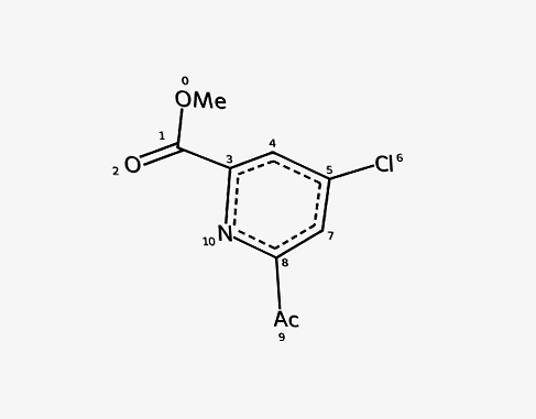 COC(=O)c1cc(Cl)cc(C(C)=O)n1